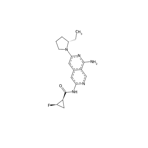 CC[C@H]1CCCN1c1cc2cc(NC(=O)[C@H]3C[C@H]3F)ncc2c(N)n1